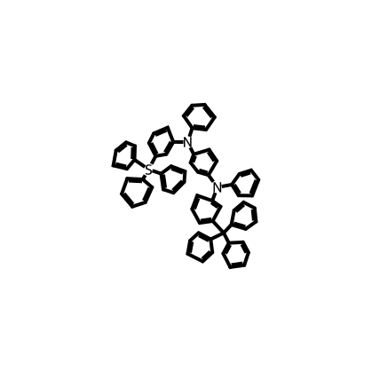 c1ccc(N(c2ccc(N(c3ccccc3)c3cccc(S(c4ccccc4)(c4ccccc4)c4ccccc4)c3)cc2)c2cccc(C(c3ccccc3)(c3ccccc3)c3ccccc3)c2)cc1